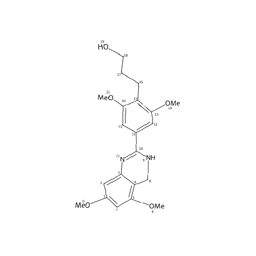 COc1cc2c(c(OC)c1)CNC(c1cc(OC)c(CCCO)c(OC)c1)=N2